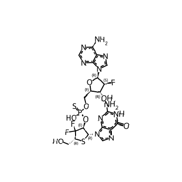 Nc1nc2c(ncn2[C@@H]2S[C@H](CO)C(F)(F)[C@H]2OP(O)(=S)OC[C@H]2O[C@@H](n3cnc4c(N)ncnc43)[C@@H](F)[C@@H]2O)c(=O)[nH]1